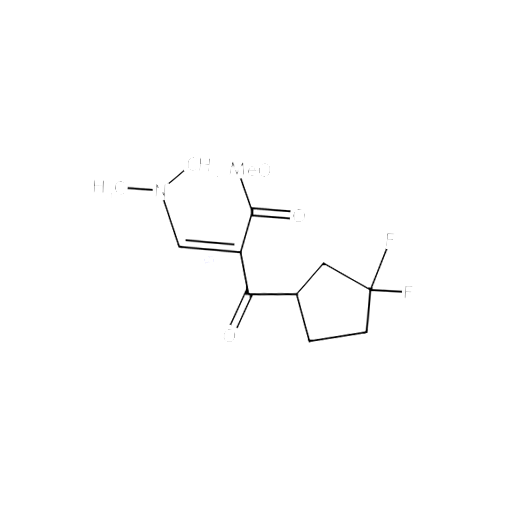 COC(=O)/C(=C\N(C)C)C(=O)C1CCC(F)(F)C1